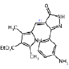 CCOC(=O)c1c(C)[nH]c(/C=C2/C(=O)NN=C2c2cccc(N)c2)c1C